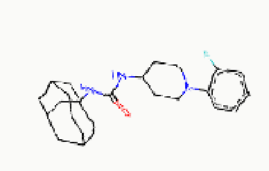 O=C(NC1CCN(c2ccccc2F)CC1)NC12CC3CC(CC(C3)C1)C2